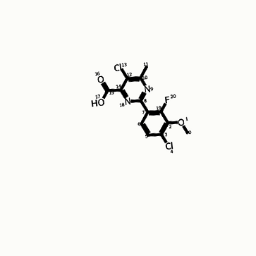 COc1c(Cl)ccc(-c2nc(C)c(Cl)c(C(=O)O)n2)c1F